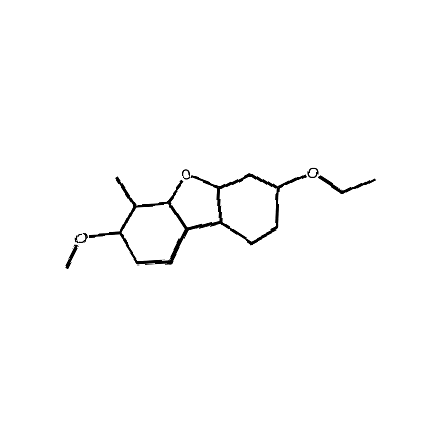 CCOC1CCC2C(C1)OC1C(C)C(OC)CCC21